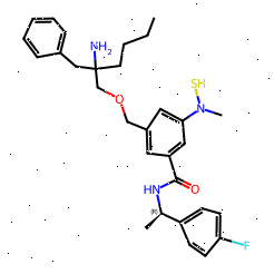 CCCCC(N)(COCc1cc(C(=O)N[C@H](C)c2ccc(F)cc2)cc(N(C)S)c1)Cc1ccccc1